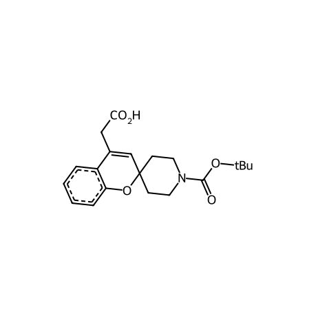 CC(C)(C)OC(=O)N1CCC2(C=C(CC(=O)O)c3ccccc3O2)CC1